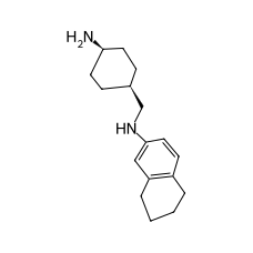 N[C@H]1CC[C@@H](CNc2ccc3c(c2)CCCC3)CC1